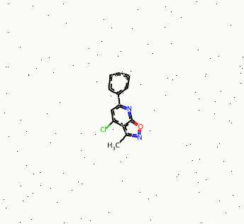 Cc1noc2nc(-c3ccccc3)cc(Cl)c12